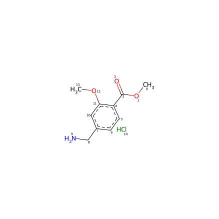 COC(=O)c1ccc(CN)cc1OC.Cl